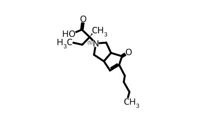 CCCCC1=CC2CN([C@@](C)(CC)C(=O)O)CC2C1=O